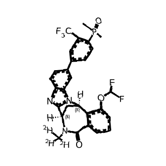 [2H]C([2H])([2H])N1C(=O)c2cccc(OC(F)F)c2[C@H]2C[C@@H]1c1nc3ccc(-c4ccc(P(C)(C)=O)c(C(F)(F)F)c4)cc3n12